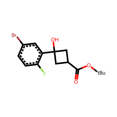 CC(C)(C)OC(=O)C1CC(O)(c2cc(Br)ccc2F)C1